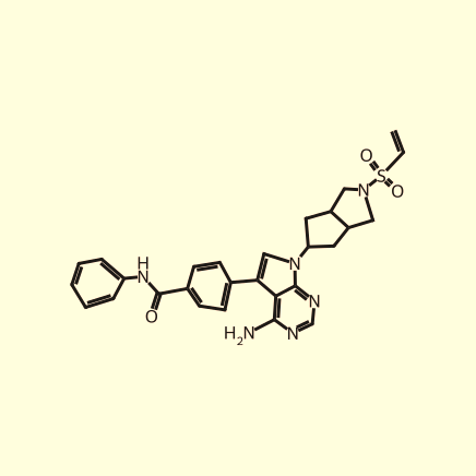 C=CS(=O)(=O)N1CC2CC(n3cc(-c4ccc(C(=O)Nc5ccccc5)cc4)c4c(N)ncnc43)CC2C1